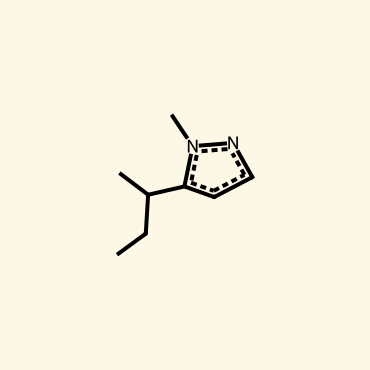 CCC(C)c1ccnn1C